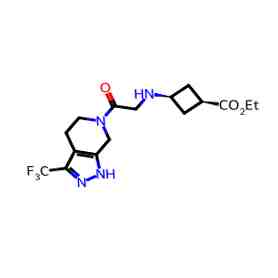 CCOC(=O)[C@H]1C[C@@H](NCC(=O)N2CCc3c(C(F)(F)F)n[nH]c3C2)C1